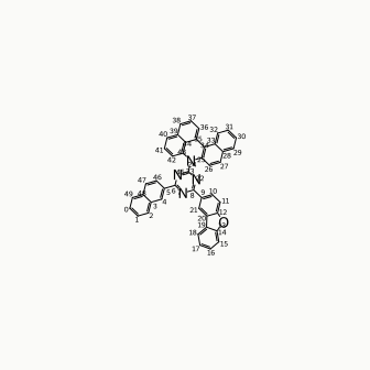 c1ccc2cc(-c3nc(-c4ccc5oc6ccccc6c5c4)nc(N4c5ccc6ccccc6c5-c5cccc6cccc4c56)n3)ccc2c1